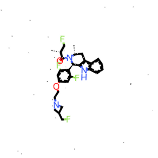 C[C@H](CF)C(=O)N1[C@H](c2c(F)cc(OCCN3CC(CF)C3)cc2F)c2[nH]c3ccccc3c2C[C@H]1C